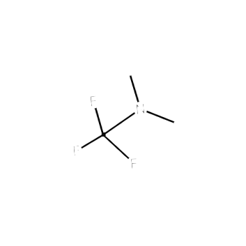 CN(C)C(F)(F)F